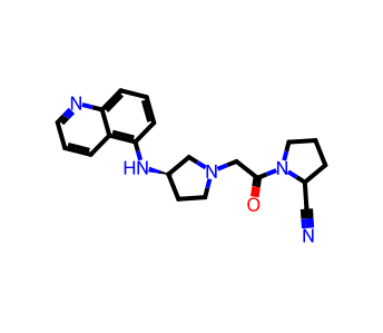 N#CC1CCCN1C(=O)CN1CC[C@@H](Nc2cccc3ncccc23)C1